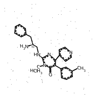 Cc1cccc(-c2c(-c3ccncc3)nc(NC[C@@H](N)Cc3ccccc3)n(C)c2=O)c1.Cl